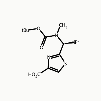 CC(C)[C@@H](c1nc(C(=O)O)cs1)N(C)C(=O)OC(C)(C)C